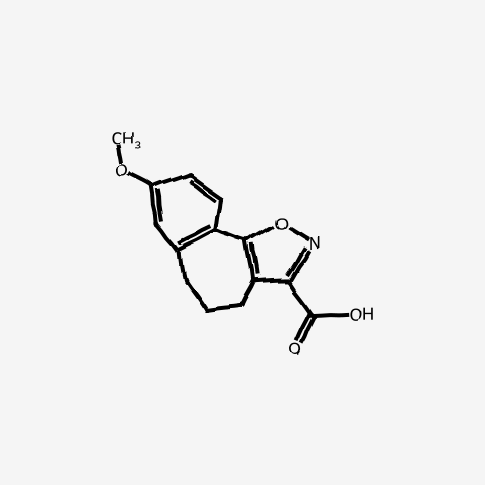 COc1ccc2c(c1)CCCc1c(C(=O)O)noc1-2